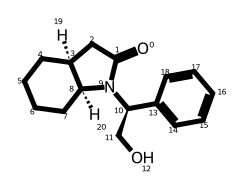 O=C1C[C@@H]2CCCC[C@@H]2N1[C@H](CO)c1ccccc1